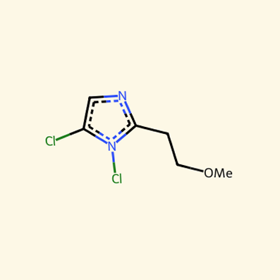 COCCc1ncc(Cl)n1Cl